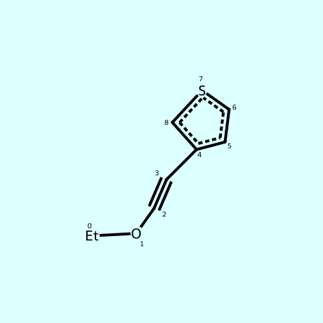 CCOC#Cc1ccsc1